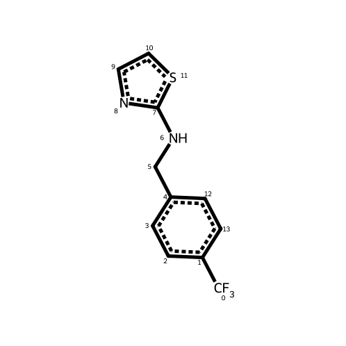 FC(F)(F)c1ccc(CNc2nccs2)cc1